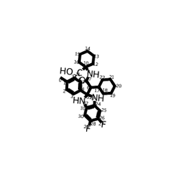 Cc1ccc(C2(C(C(=O)NC3(C(=O)O)CCCCC3)C3CCCCC3)Nc3cc(F)c(F)cc3N2)cc1